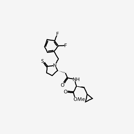 COC(=O)[C@H](CC1CC1)NC(=O)C[C@@H]1CCC(=S)N1Cc1cccc(F)c1F